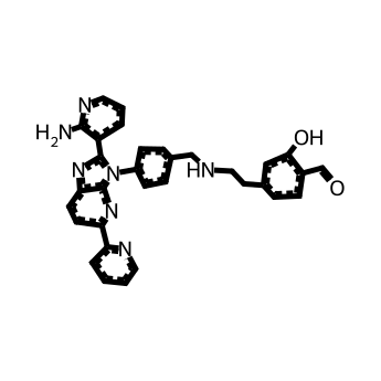 Nc1ncccc1-c1nc2ccc(-c3ccccn3)nc2n1-c1ccc(CNCCc2ccc(C=O)c(O)c2)cc1